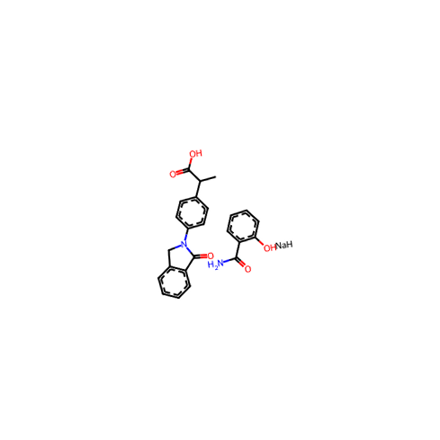 CC(C(=O)O)c1ccc(N2Cc3ccccc3C2=O)cc1.NC(=O)c1ccccc1O.[NaH]